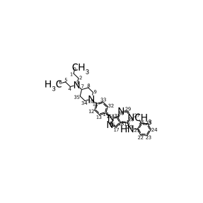 CCCN(CCC)C1CCN(c2ccc(-n3ncc4c(Nc5ccccc5C)ncnc43)cc2)CC1